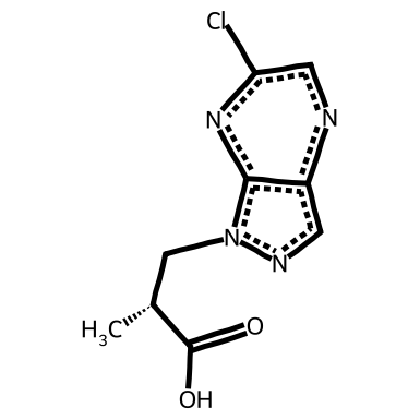 C[C@H](Cn1ncc2ncc(Cl)nc21)C(=O)O